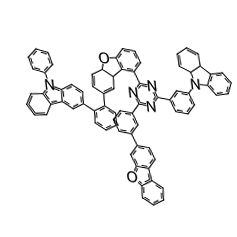 C1=C=Cc2c(c3cc(-c4ccccc4C4=CC5c6c(cccc6-c6nc(-c7cccc(-c8ccc9c(c8)oc8ccccc89)c7)nc(-c7cccc(N8c9ccccc9C9C=CC=CC98)c7)n6)OC5C=C4)ccc3n2-c2ccccc2)C=1